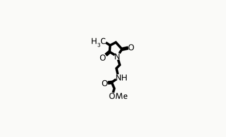 COCC(=O)NCCN1C(=O)CC(C)C1=O